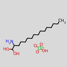 CCCCCCCCCCCCCCC(N)C(O)O.[O-][Cl+3]([O-])([O-])O